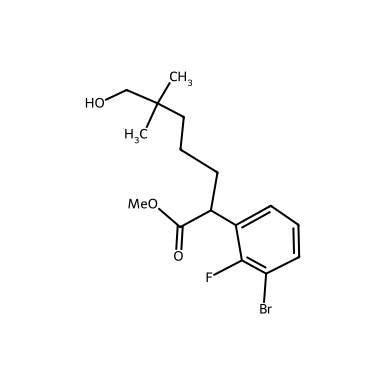 COC(=O)C(CCCC(C)(C)CO)c1cccc(Br)c1F